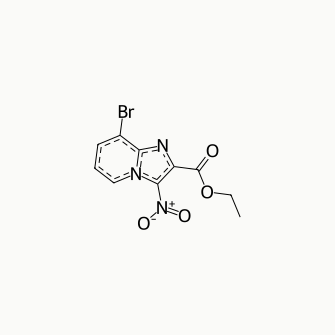 CCOC(=O)c1nc2c(Br)cccn2c1[N+](=O)[O-]